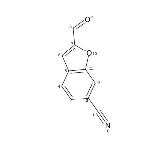 N#Cc1ccc2cc(C=O)oc2c1